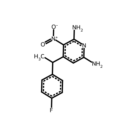 CC(c1ccc(F)cc1)c1cc(N)nc(N)c1[N+](=O)[O-]